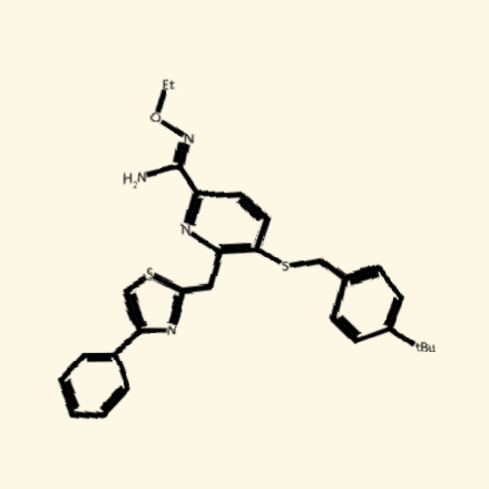 CCO/N=C(\N)c1ccc(SCc2ccc(C(C)(C)C)cc2)c(Cc2nc(-c3ccccc3)cs2)n1